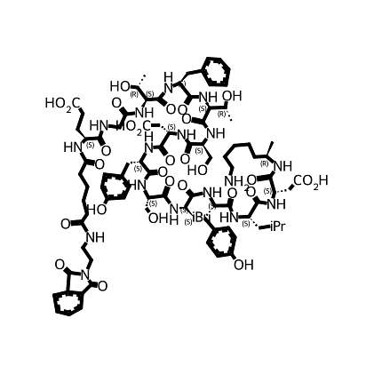 CC[C@H](C)[C@H](NC(=O)[C@H](CO)NC(=O)[C@H](Cc1ccc(O)cc1)NC(=O)[C@H](CC(=O)O)NC(=O)[C@H](CO)NC(=O)[C@@H](NC(=O)[C@H](Cc1ccccc1)NC(=O)[C@@H](NC(=O)CNC(=O)[C@H](CCC(=O)O)NC(=O)CCCCC(=O)NCCN1C(=O)c2ccccc2C1=O)[C@@H](C)O)[C@@H](C)O)C(=O)N[C@@H](Cc1ccc(O)cc1)C(=O)N[C@@H](CC(C)C)C(=O)N[C@@H](CC(=O)O)C(=O)N[C@H](C)CCCCCN